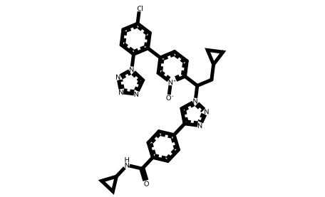 O=C(NC1CC1)c1ccc(-c2cn(C(CC3CC3)c3ccc(-c4cc(Cl)ccc4-n4cnnn4)c[n+]3[O-])nn2)cc1